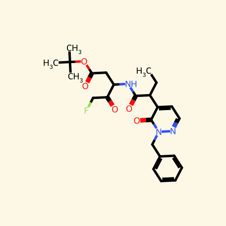 CCC(C(=O)NC(CC(=O)OC(C)(C)C)C(=O)CF)c1ccnn(Cc2ccccc2)c1=O